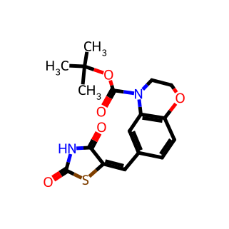 CC(C)(C)OC(=O)N1CCOc2ccc(C=C3SC(=O)NC3=O)cc21